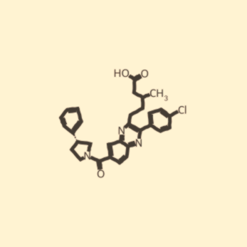 CC(CCc1nc2cc(C(=O)N3CC[C@H](c4ccccc4)C3)ccc2nc1-c1ccc(Cl)cc1)CC(=O)O